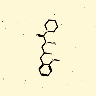 COc1ccccc1CC(N)C[C@H](N)C(=O)N1CCCCC1